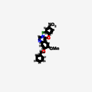 COc1cc2c(Oc3ccc([N+](=O)[O-])cc3F)ncnc2cc1OCc1ccccc1